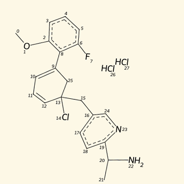 COc1cccc(F)c1C1=CC=CC(Cl)(Cc2ccc(C(C)N)nc2)C1.Cl.Cl